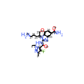 CCn1nc(C)c(F)c1C(=O)Nc1nc2cc(C(N)=O)cc3c2n1[C@@H](CCCN)CO3